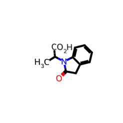 CC(C(=O)O)N1C(=O)Cc2ccccc21